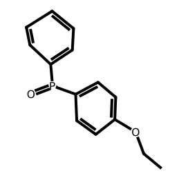 CCOc1ccc([P](=O)c2ccccc2)cc1